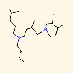 CCCCN(CCCC(C)C)CCC(C)CN(C)CC(C)C(C)C